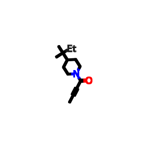 CC#CC(=O)N1CCC(C(C)(C)CC)CC1